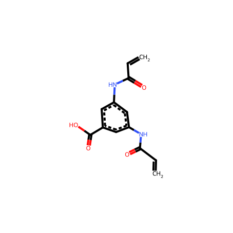 C=CC(=O)Nc1cc(NC(=O)C=C)cc(C(=O)O)c1